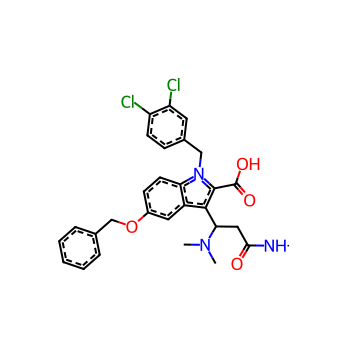 CN(C)C(CC([NH])=O)c1c(C(=O)O)n(Cc2ccc(Cl)c(Cl)c2)c2ccc(OCc3ccccc3)cc12